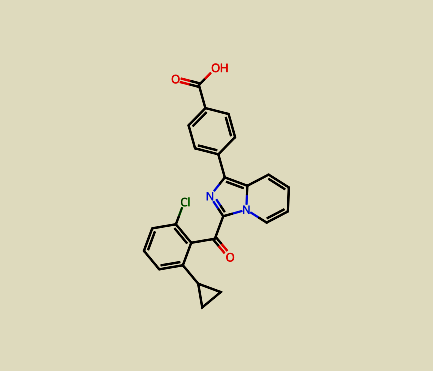 O=C(O)c1ccc(-c2nc(C(=O)c3c(Cl)cccc3C3CC3)n3ccccc23)cc1